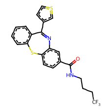 O=C(NCCCC(F)(F)F)c1ccc2c(c1)N=C(c1ccsc1)c1ccccc1S2